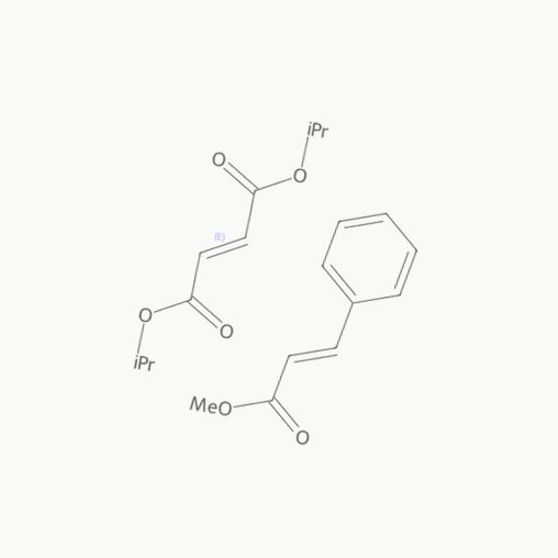 CC(C)OC(=O)/C=C/C(=O)OC(C)C.COC(=O)C=Cc1ccccc1